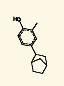 Cc1cc(C2CC3CCC2C3)ccc1O